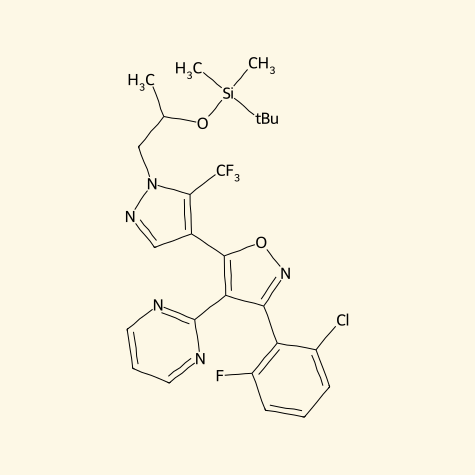 CC(Cn1ncc(-c2onc(-c3c(F)cccc3Cl)c2-c2ncccn2)c1C(F)(F)F)O[Si](C)(C)C(C)(C)C